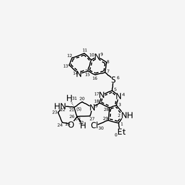 CCc1[nH]c2nc(Sc3cnc4cccnc4c3)nc(N3C[C@@H]4NCCO[C@H]4C3)c2c1Cl